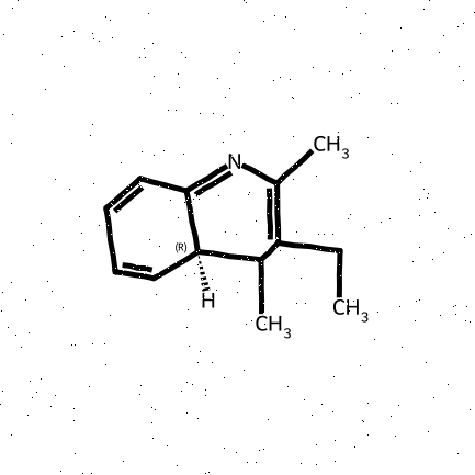 CCC1=C(C)N=C2C=CC=C[C@@H]2C1C